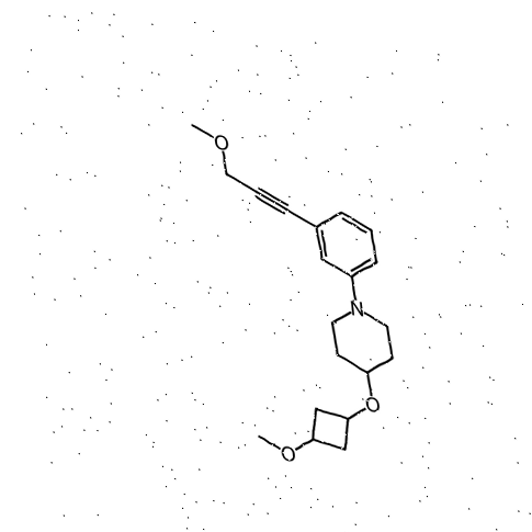 COCC#Cc1cccc(N2CCC(OC3CC(OC)C3)CC2)c1